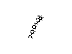 CCC[C@H]1CC[C@H](C2CCC(CCC=Cc3cccc(F)c3F)CC2)CC1